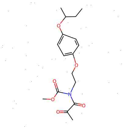 CCC(C)Oc1ccc(OCCN(C(=O)OC)C(=O)C(C)=O)cc1